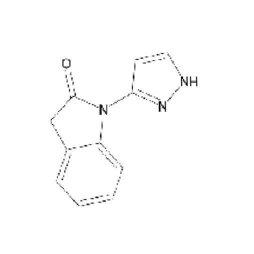 O=C1Cc2ccccc2N1c1cc[nH]n1